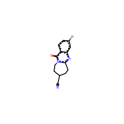 N#CC1CCc2nc3cc(Br)ccc3c(=O)n2CC1